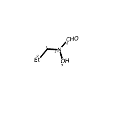 [CH2]CCN(O)C=O